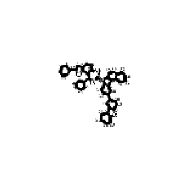 c1ccc(-c2cc3ccc4nc(-n5c6ccc(-c7ccc8sc9ccccc9c8c7)cc6c6c7ccccc7ccc65)nc(-c5ccccc5)c4c3o2)cc1